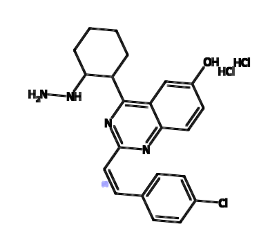 Cl.Cl.NNC1CCCCC1c1nc(/C=C\c2ccc(Cl)cc2)nc2ccc(O)cc12